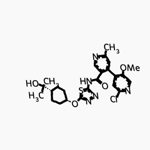 COc1cnc(Cl)cc1-c1cc(C)ncc1C(=O)Nc1nnc(O[C@H]2CC[C@@H](C(C)(C)O)CC2)s1